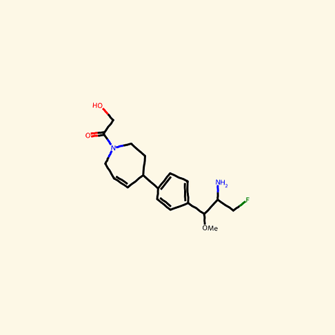 COC(c1ccc(C2C=CCN(C(=O)CO)CC2)cc1)C(N)CF